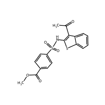 COC(=O)c1ccc(S(=O)(=O)Nc2sc3ccccc3c2C(C)=O)cc1